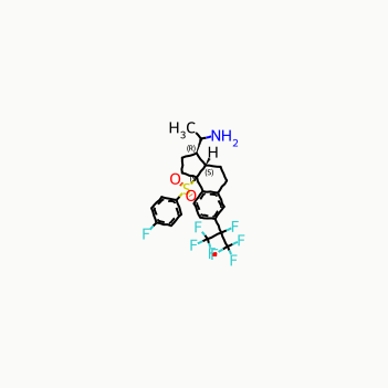 CC(N)[C@@H]1CC[C@@]2(S(=O)(=O)c3ccc(F)cc3)c3ccc(C(F)(C(F)(F)F)C(F)(F)F)cc3CC[C@@H]12